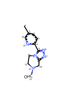 Cc1ccc(-c2nnc3n2CCN(C=O)C3)nc1